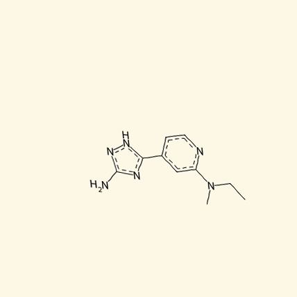 CCN(C)c1cc(-c2nc(N)n[nH]2)ccn1